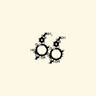 C=CC[C@H]1C(=O)C(C)(C)[C@@H](O)CC(=O)O[C@H](c2ccc3sc(CN)nc3c2)CC=C(C)CCC[C@H](C)[C@@H]1O.C=CC[C@H]1C(=O)C(C)(C)[C@@H](O)CC(=O)O[C@H](c2ccc3sc(CO)nc3c2)CC=C(C)CCC[C@H](C)[C@@H]1O